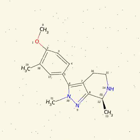 COc1ccc(-c2c3c(nn2C)[C@H](C)NCC3)cc1C